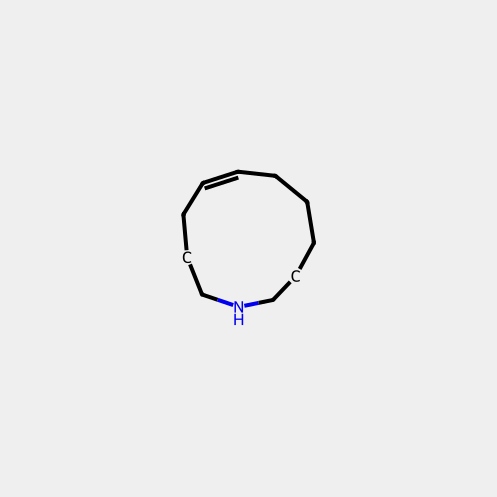 C1=CCCCNCCCCC1